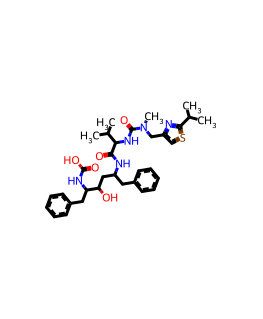 CC(C)c1nc(CN(C)C(=O)NC(C(=O)NC(Cc2ccccc2)CC(O)C(Cc2ccccc2)NC(=O)O)C(C)C)cs1